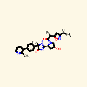 BBc1cc(C(C(=O)N2C[C@H](O)C[C@H]2C2=NC(=O)C(C)(c3ccc(-c4cccnc4C)cc3)N2)C(C)C)on1